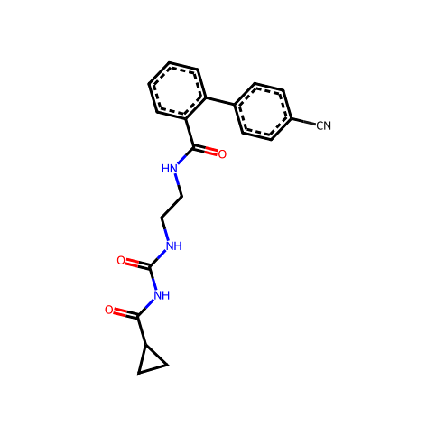 N#Cc1ccc(-c2ccccc2C(=O)NCCNC(=O)NC(=O)C2CC2)cc1